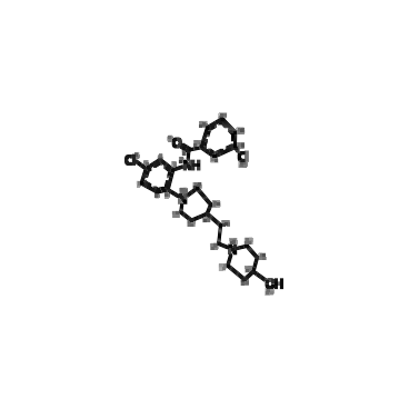 O=C(Nc1cc(Cl)ccc1N1CCC(CCN2CCC(O)CC2)CC1)c1cccc(Cl)c1